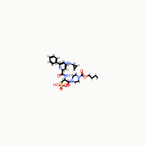 CCCCOC(=O)N1CCN(C(=O)C(CP(=O)(O)O)NC(=O)c2cc(NC3CC3)cc(-c3ccccc3)n2)CC1